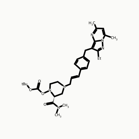 CCc1nn2c(C)cc(C)nc2c1Cc1ccc(/C=C/CN2CCN(OC(=O)OC(C)(C)C)[C@@H](C(=O)N(C)C)C2)cc1